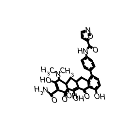 CN(C)C1C(O)=C(C(N)=O)C(=O)C2(O)C(O)=C3C(=O)c4c(O)ccc(-c5ccc(NC(=O)c6ccno6)cc5)c4CC3CC12